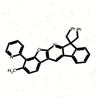 Cc1ccc2c(oc3nc4c(cc32)-c2ccccc2C4(CC(C)C)CC(C)C)c1-c1ccccn1